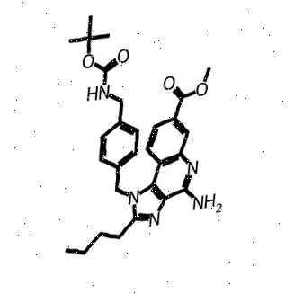 CCCCc1nc2c(N)nc3cc(C(=O)OC)ccc3c2n1Cc1ccc(CNC(=O)OC(C)(C)C)cc1